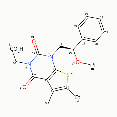 CCc1sc2c(c1C)c(=O)n(CC(=O)O)c(=O)n2C[C@H](OC(C)C)c1ccccc1